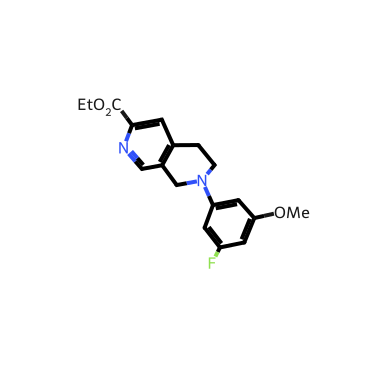 CCOC(=O)c1cc2c(cn1)CN(c1cc(F)cc(OC)c1)CC2